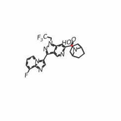 O=C(c1cc2c(cn1)c(-c1cnc3c(F)cccn13)nn2CC(F)(F)F)N1C2CCC1CC(O)C2